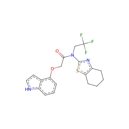 O=C(COc1cccc2[nH]ccc12)N(CC(F)(F)F)c1nc2c(s1)CCCC2